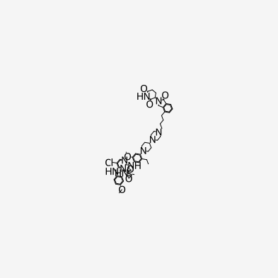 CCc1cc(Nc2ncc(Cl)c(Nc3ccc(OC)cc3NS(C)(=O)=O)n2)c(OC)cc1N1CCC(N2CCN(CCCCc3cccc4c3CN(C3CCC(=O)NC3=O)C4=O)CC2)CC1